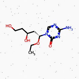 CCO[C@H](C[C@@H](O)CCO)n1cnc(N)nc1=O